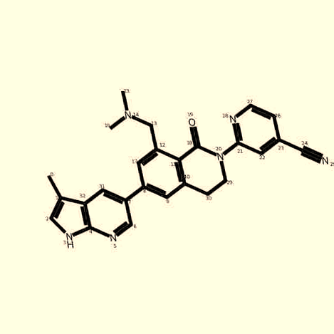 Cc1c[nH]c2ncc(-c3cc4c(c(CN(C)C)c3)C(=O)N(c3cc(C#N)ccn3)CC4)cc12